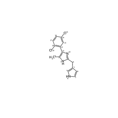 Cc1[nH]c(Cc2cc[nH]c2)nc1-c1cc(Cl)ccc1Cl